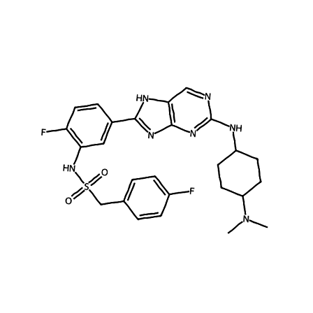 CN(C)C1CCC(Nc2ncc3[nH]c(-c4ccc(F)c(NS(=O)(=O)Cc5ccc(F)cc5)c4)nc3n2)CC1